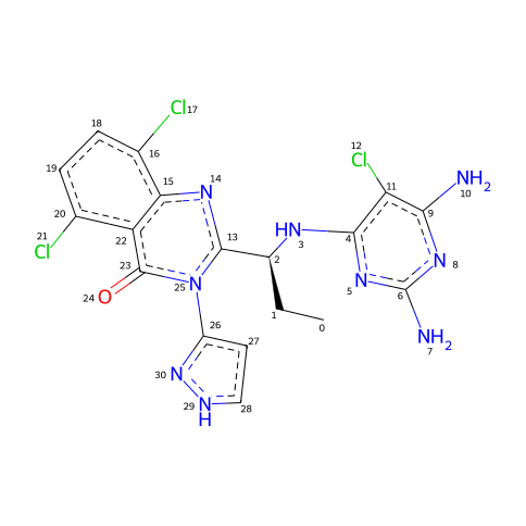 CC[C@H](Nc1nc(N)nc(N)c1Cl)c1nc2c(Cl)ccc(Cl)c2c(=O)n1-c1cc[nH]n1